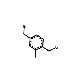 Cc1cc(CBr)ccc1CBr